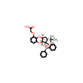 CC(C)(C)[C@H]1C[C@@H]2Oc3c(OCC(=O)O)cccc3O[C@H]2[C@]1(C=O)O[SiH](c1ccccc1)c1ccccc1